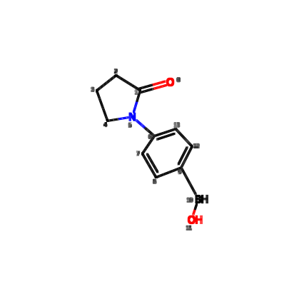 O=C1CCCN1c1ccc(BO)cc1